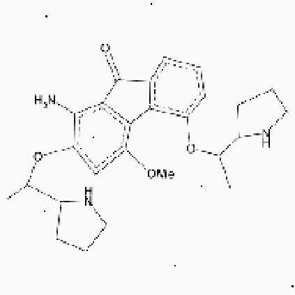 COc1cc(OC(C)C2CCCN2)c(N)c2c1-c1c(OC(C)C3CCCN3)cccc1C2=O